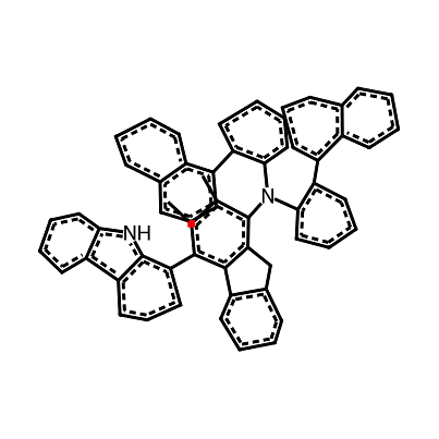 Cc1c(C)c(N(c2ccccc2-c2cccc3ccccc23)c2ccccc2-c2cccc3ccccc23)c2c(c1-c1cccc3c1[nH]c1ccccc13)-c1ccccc1C2